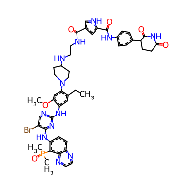 CCc1cc(Nc2ncc(Br)c(Nc3ccc4nccnc4c3P(C)(C)=O)n2)c(OC)cc1N1CCC(NCCNC(=O)c2c[nH]c(C(=O)Nc3ccc(C4CCC(=O)NC4=O)cc3)c2)CC1